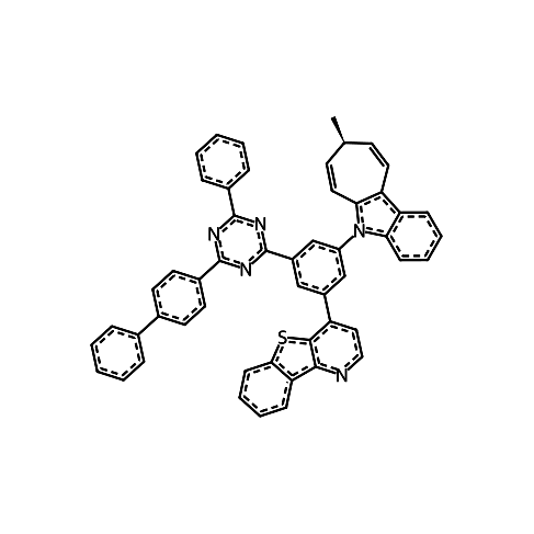 C[C@H]1C=Cc2c(n(-c3cc(-c4nc(-c5ccccc5)nc(-c5ccc(-c6ccccc6)cc5)n4)cc(-c4ccnc5c4sc4ccccc45)c3)c3ccccc23)C=C1